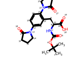 CC(C)(C)OC(=O)N[C@@H](Cc1cc(N2CCCC2=O)ccc1N1CCCC1=O)C(=O)O